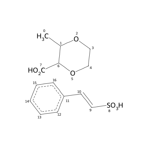 CC1OCCOC1C(=O)O.O=S(=O)(O)C=Cc1ccccc1